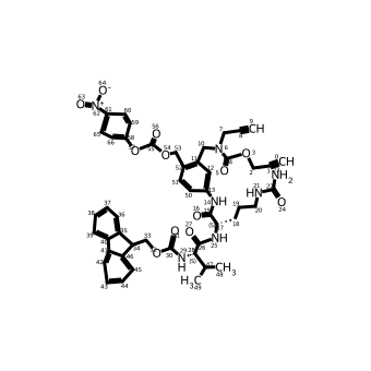 C#CCOC(=O)N(CC#C)Cc1cc(NC(=O)[C@H](CCCNC(N)=O)NC(=O)[C@@H](NC(=O)OCC2c3ccccc3-c3ccccc32)C(C)C)ccc1COC(=O)Oc1ccc([N+](=O)[O-])cc1